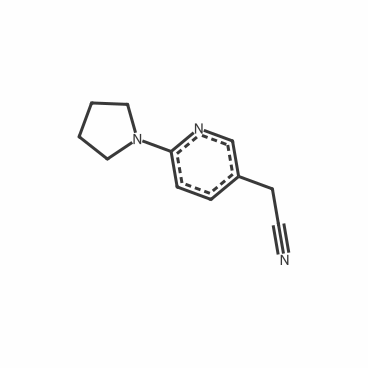 N#CCc1ccc(N2CCCC2)nc1